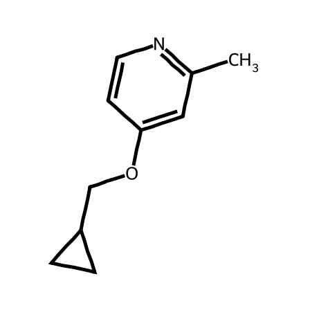 Cc1cc(OCC2CC2)ccn1